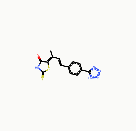 CC(C=Cc1ccc(-c2nnn[nH]2)cc1)=C1SC(=S)NC1=O